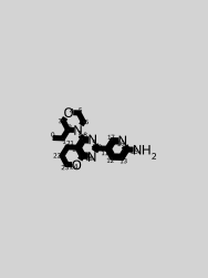 CCC1COCCN1c1nc(-c2ccc(N)nc2)nc2c1CCCO2